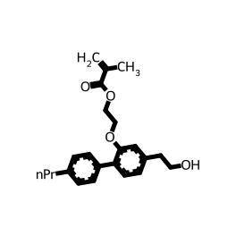 C=C(C)C(=O)OCCOc1cc(CCO)ccc1-c1ccc(CCC)cc1